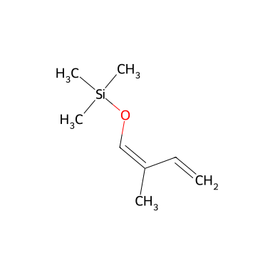 C=C/C(C)=C\O[Si](C)(C)C